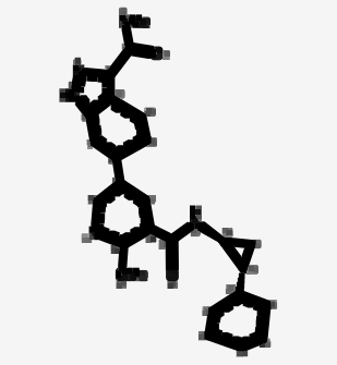 CNC(=O)c1n[nH]c2cc(-c3cnc(OC)c(C(=O)N[C@H]4C[C@@H]4c4ccccc4)c3)ccc12